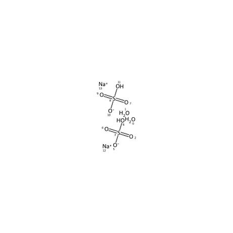 O.O.O=S(=O)([O-])O.O=S(=O)([O-])O.[Na+].[Na+]